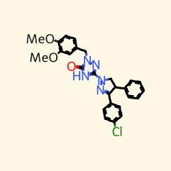 COc1ccc(Cn2nc(N3CC(c4ccccc4)C(c4ccc(Cl)cc4)=N3)[nH]c2=O)cc1OC